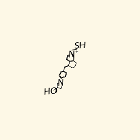 OC1CCN(c2ccc(/C=C3\CCCc4c[n+](CCS)ccc43)cc2)C1